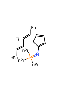 CC(C)(C)C=CC=CC(C)(C)C.CCCP(CCC)(CCC)=NC1=CC=CC1.[Ti]